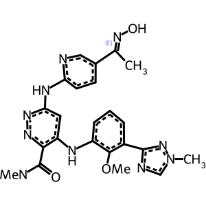 CNC(=O)c1nnc(Nc2ccc(/C(C)=N/O)cn2)cc1Nc1cccc(-c2ncn(C)n2)c1OC